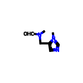 CN(C=O)Cc1cncn1C